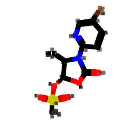 CC1[C@@H](OS(C)(=O)=O)OC(=O)N1c1ccc(Br)cn1